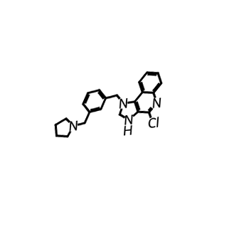 Clc1nc2ccccc2c2c1NCN2Cc1cccc(CN2CCCC2)c1